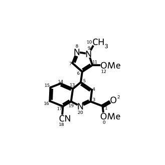 COC(=O)c1cc(-c2cnn(C)c2OC)c2cccc(C#N)c2n1